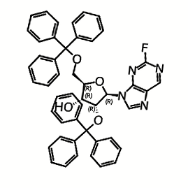 O[C@H]1[C@@H](OC(c2ccccc2)(c2ccccc2)c2ccccc2)[C@H](n2cnc3cnc(F)nc32)O[C@@H]1COC(c1ccccc1)(c1ccccc1)c1ccccc1